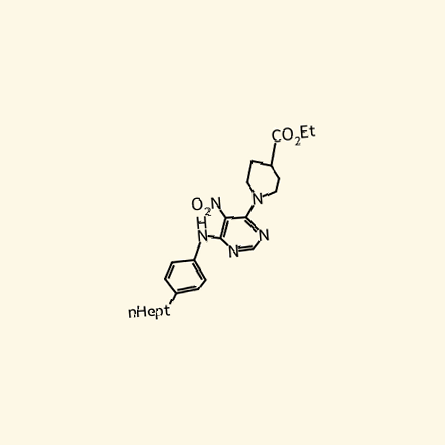 CCCCCCCc1ccc(Nc2ncnc(N3CCC(C(=O)OCC)CC3)c2[N+](=O)[O-])cc1